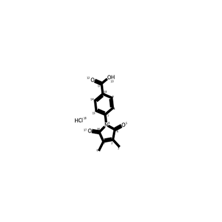 CC1=C(C)C(=O)N(c2ccc(C(=O)O)cc2)C1=O.Cl